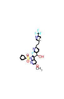 COc1cnc2c(c1)c(C(O)c1ccc(CCc3ccc(C(F)(F)F)nc3)nc1F)cn2S(=O)(=O)c1ccccc1